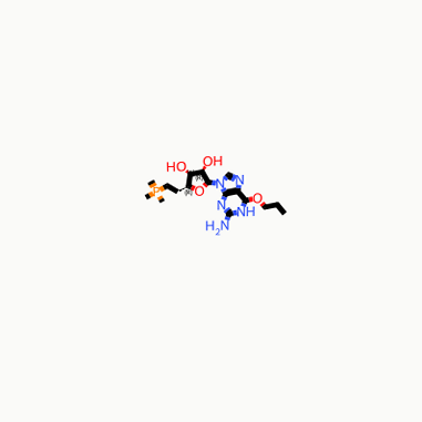 C=P(C)(C)CC[C@H]1OC(n2cnc3c2N=C(N)NC3OCCC)[C@H](O)[C@@H]1O